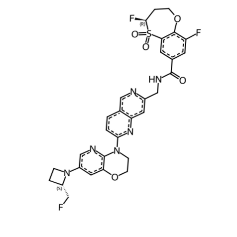 O=C(NCc1cc2nc(N3CCOc4cc(N5CC[C@H]5CF)cnc43)ccc2cn1)c1cc(F)c2c(c1)S(=O)(=O)[C@@H](F)CCO2